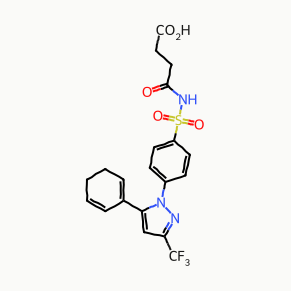 O=C(O)CCC(=O)NS(=O)(=O)c1ccc(-n2nc(C(F)(F)F)cc2C2=CCCC=C2)cc1